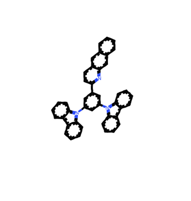 c1ccc2cc3nc(-c4cc(-n5c6ccccc6c6ccccc65)cc(-n5c6ccccc6c6ccccc65)c4)ccc3cc2c1